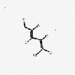 ClCC(Cl)=C(Cl)C(Cl)=C(Cl)Cl